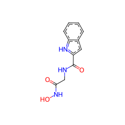 O=C(CNC(=O)c1cc2ccccc2[nH]1)NO